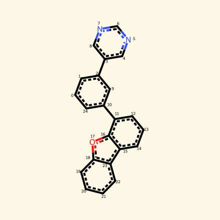 c1cc(-c2cncnc2)cc(-c2cccc3c2oc2ccccc23)c1